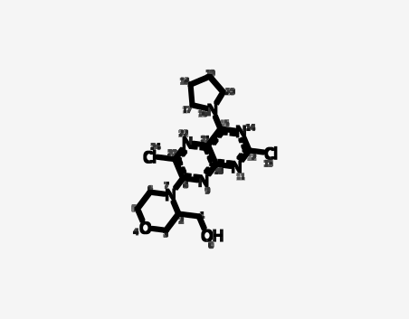 OCC1COCCN1c1nc2nc(Cl)nc(N3CCCC3)c2nc1Cl